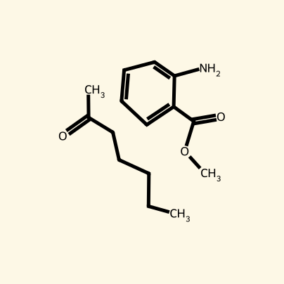 CCCCCC(C)=O.COC(=O)c1ccccc1N